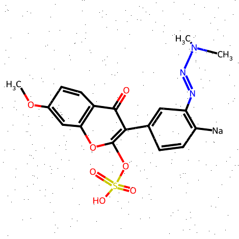 COc1ccc2c(=O)c(-c3cc[c]([Na])c(N=NN(C)C)c3)c(OS(=O)(=O)O)oc2c1